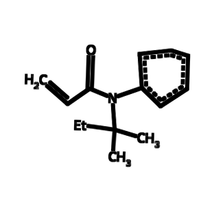 C=CC(=O)N(c1ccccc1)C(C)(C)CC